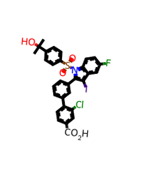 CC(C)(O)c1ccc(S(=O)(=O)n2c(-c3cccc(-c4ccc(C(=O)O)cc4Cl)c3)c(I)c3cc(F)ccc32)cc1